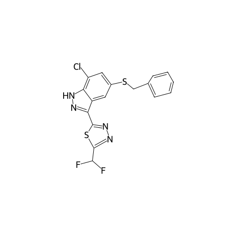 FC(F)c1nnc(-c2n[nH]c3c(Cl)cc(SCc4ccccc4)cc23)s1